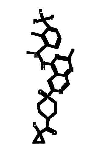 Cc1nc(N[C@H](C)c2cccc(C(F)(F)F)c2C)c2cc(P3(=O)CCN(C(=O)C4(F)CC4)CC3)ncc2n1